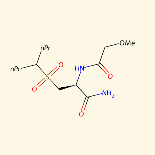 CCCC(CCC)S(=O)(=O)C[C@@H](NC(=O)COC)C(N)=O